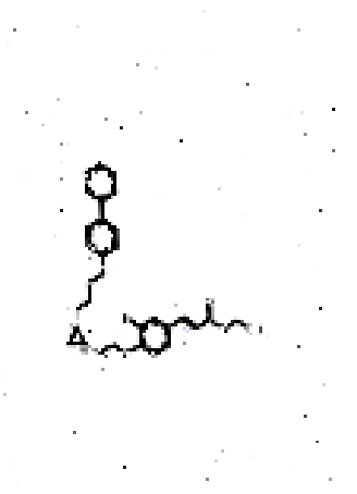 CCOC(=O)/C=C/c1ccc(OCC[C@@H]2C[C@@H]2CCCCc2ccc(-c3ccccc3)cc2)c(F)c1